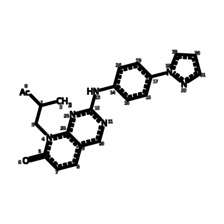 CC(=O)C(C)Cn1c(=O)ccc2cnc(Nc3ccc(-n4cccn4)cc3)nc21